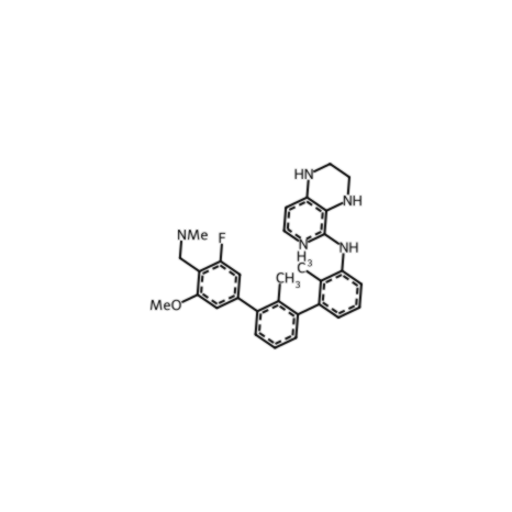 CNCc1c(F)cc(-c2cccc(-c3cccc(Nc4nccc5c4NCCN5)c3C)c2C)cc1OC